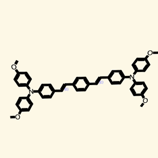 COc1ccc(N(c2ccc(/C=C/c3ccc(/C=C/c4ccc(N(c5ccc(OC)cc5)c5ccc(OC)cc5)cc4)cc3)cc2)c2ccc(OC)cc2)cc1